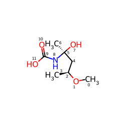 CO[C@@H](C)C[C@](C)(O)NC(=O)O